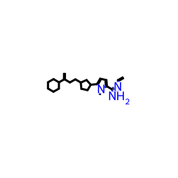 C=C/N=C(/N)c1ccc(C2CCC(CCC(=C)C3CCCCC3)C2)n1C